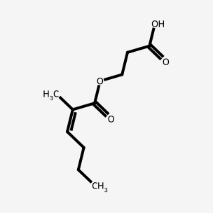 CCCC=C(C)C(=O)OCCC(=O)O